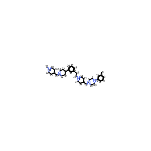 Cc1cccc(N2CCN(CC3CCN(CCc4cccc(C5CCN(CC6CCN(C)CC6)CC5)c4)CC3)CC2)c1